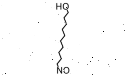 O=NCCCCCCCCCCO